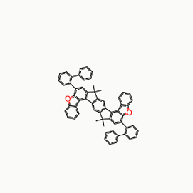 CC1(C)c2cc3c(cc2-c2c1cc(-c1ccccc1-c1ccccc1)c1oc4ccccc4c21)C(C)(C)c1cc(-c2ccccc2-c2ccccc2)c2oc4ccccc4c2c1-3